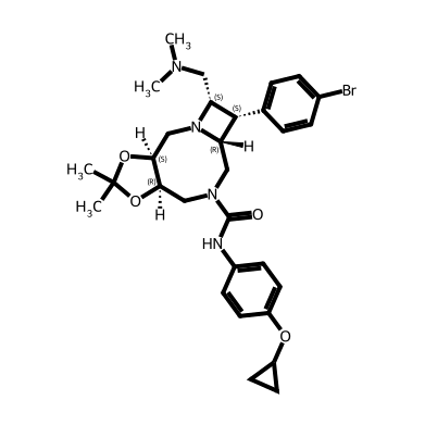 CN(C)C[C@@H]1[C@H](c2ccc(Br)cc2)[C@@H]2CN(C(=O)Nc3ccc(OC4CC4)cc3)C[C@H]3OC(C)(C)O[C@H]3CN12